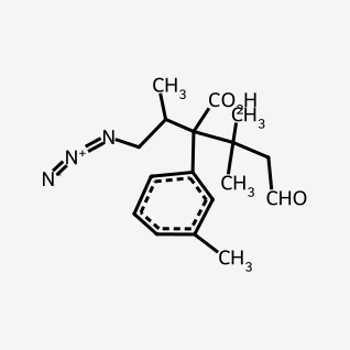 Cc1cccc(C(C(=O)O)(C(C)CN=[N+]=[N-])C(C)(C)CC=O)c1